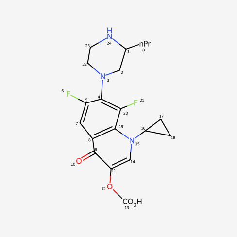 CCCC1CN(c2c(F)cc3c(=O)c(OC(=O)O)cn(C4CC4)c3c2F)CCN1